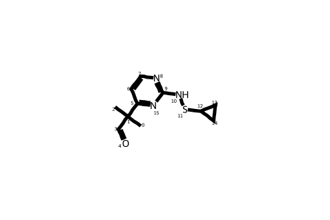 CC(C)(C=O)c1ccnc(NSC2CC2)n1